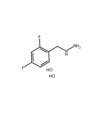 Cl.Cl.NNCc1ccc(F)cc1F